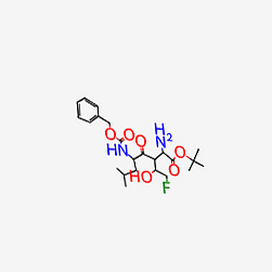 CC(C)CC(NC(=O)OCc1ccccc1)C(=O)C(C(O)CF)C(N)C(=O)OC(C)(C)C